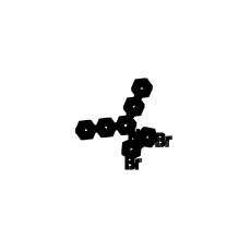 Brc1ccc2c(c1)c1cc(Br)ccc1n2C1=CC(c2ccc(-c3ccccc3)cc2)=CC(c2ccc(-c3ccccc3)cc2)C1